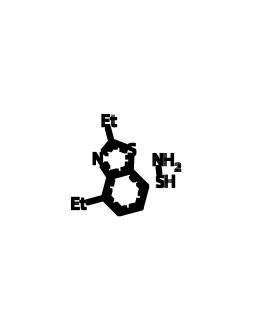 CCc1nc2c(CC)cccc2s1.NS